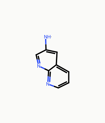 [NH]c1cnc2ncccc2c1